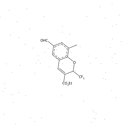 CCOC(=O)C1=Cc2cc(C=O)cc(C)c2OC1C(F)(F)F